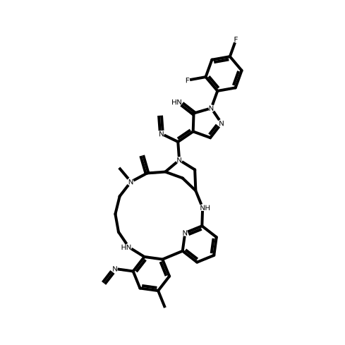 C=N/C(=C1/C=NN(c2ccc(F)cc2F)C1=N)N1CC2CC1C(=C)N(C)CCCNc1c(N=C)cc(C)cc1-c1cccc(n1)N2